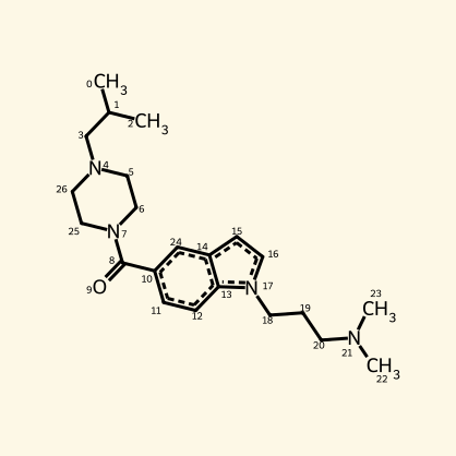 CC(C)CN1CCN(C(=O)c2ccc3c(ccn3CCCN(C)C)c2)CC1